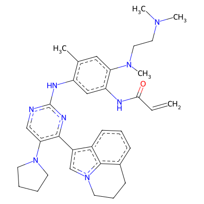 C=CC(=O)Nc1cc(Nc2ncc(N3CCCC3)c(-c3cn4c5c(cccc35)CCC4)n2)c(C)cc1N(C)CCN(C)C